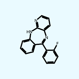 Fc1ccccc1C1=Nc2cccnc2Nc2ccccc21